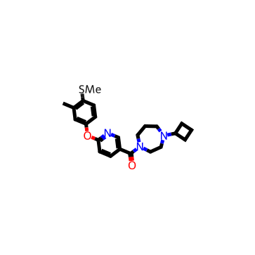 CSc1ccc(Oc2ccc(C(=O)N3CCCN(C4CCC4)CC3)cn2)cc1C